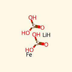 O=S(O)O.O=S(O)O.[Fe].[LiH]